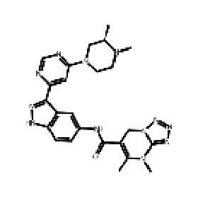 CC1=C(C(=O)Nc2ccc3[nH]nc(-c4cc(N5CCN(C)[C@H](C)C5)ncn4)c3c2)Cn2nnnc2N1C